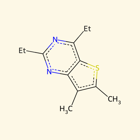 CCc1nc(CC)c2sc(C)c(C)c2n1